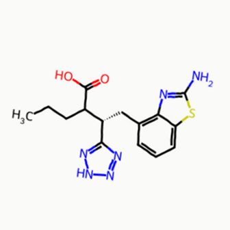 CCCC(C(=O)O)[C@H](Cc1cccc2sc(N)nc12)c1nn[nH]n1